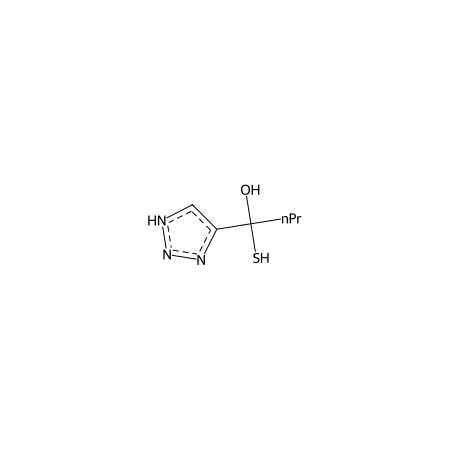 CCCC(O)(S)c1c[nH]nn1